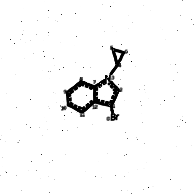 Brc1cn(C2CC2)c2ccccc12